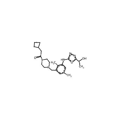 Cc1cc(CN2CCN(C(=O)CC3CCC3)CC2)c(C)c(Nc2nnc(C(C)O)o2)c1